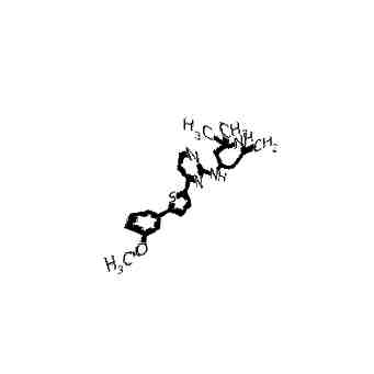 C=C1CC(Nc2nccc(-c3ccc(-c4cccc(OC)c4)s3)n2)CC(C)(C)N1